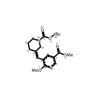 COC(=O)c1cnc(OC)c(/C=C2/CCCN(C(=O)OC(C)(C)C)C2)c1